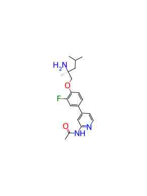 CC(=O)Nc1cc(-c2ccc(OC[C@@](C)(N)CC(C)C)c(F)c2)ccn1